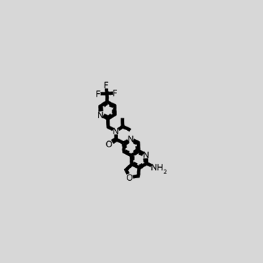 CC(C)N(Cc1ccc(C(F)(F)F)cn1)C(=O)c1cc2c3c(c(N)nc2cn1)COC3